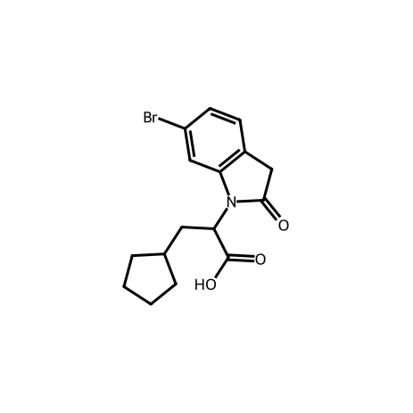 O=C(O)C(CC1CCCC1)N1C(=O)Cc2ccc(Br)cc21